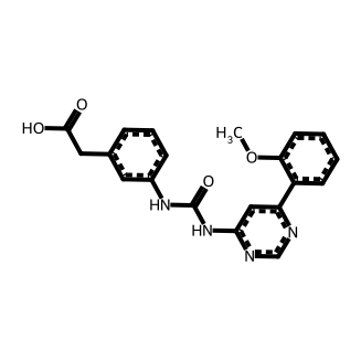 COc1ccccc1-c1cc(NC(=O)Nc2cccc(CC(=O)O)c2)ncn1